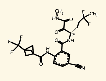 CNC(=O)C(=O)[C@H](CCC(C)(F)F)NC(=O)c1cc(C#N)ccc1NC(=O)C12CC(C(F)(F)F)(C1)C2